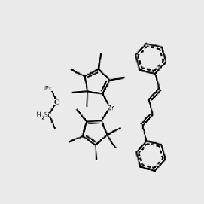 C(C=Cc1ccccc1)=Cc1ccccc1.CC1=C(C)C(C)(C)[C]([Zr][C]2=C(C)C(C)=C(C)C2(C)C)=C1C.C[SiH2]OC(C)C